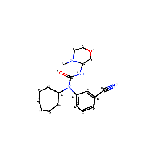 CN1CCOCC1NC(=O)N(c1cccc(C#N)c1)C1CCCCCC1